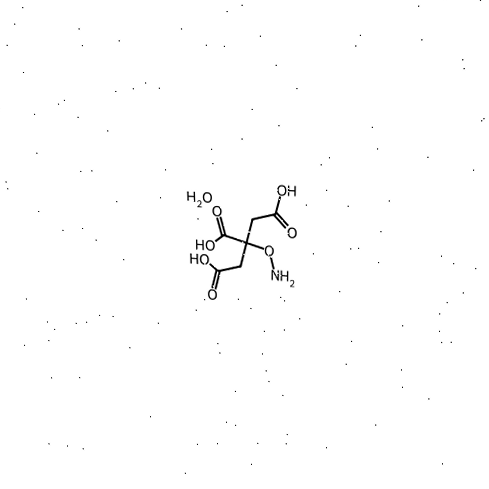 NOC(CC(=O)O)(CC(=O)O)C(=O)O.O